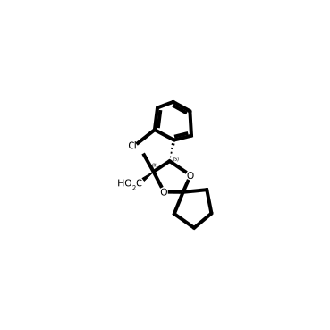 C[C@@]1(C(=O)O)OC2(CCCC2)O[C@H]1c1ccccc1Cl